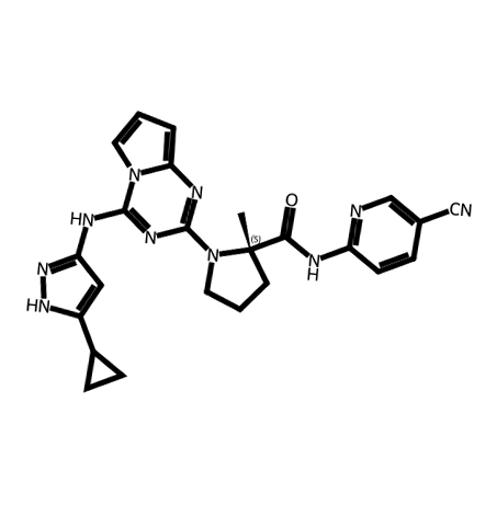 C[C@@]1(C(=O)Nc2ccc(C#N)cn2)CCCN1c1nc(Nc2cc(C3CC3)[nH]n2)n2cccc2n1